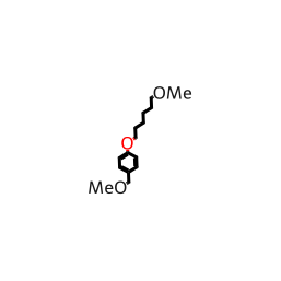 COCCCCCCOc1ccc(COC)cc1